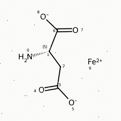 N[C@@H](CC(=O)[O-])C(=O)[O-].[Fe+2]